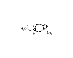 CNC[C@@H]1[C@@H]2CCc3c(nnn3C)CC[C@@H]21